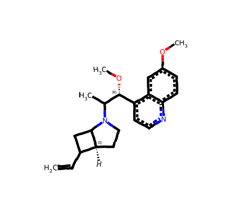 C=CC1CC2[C@H]1CCN2C(C)[C@H](OC)c1ccnc2ccc(OC)cc12